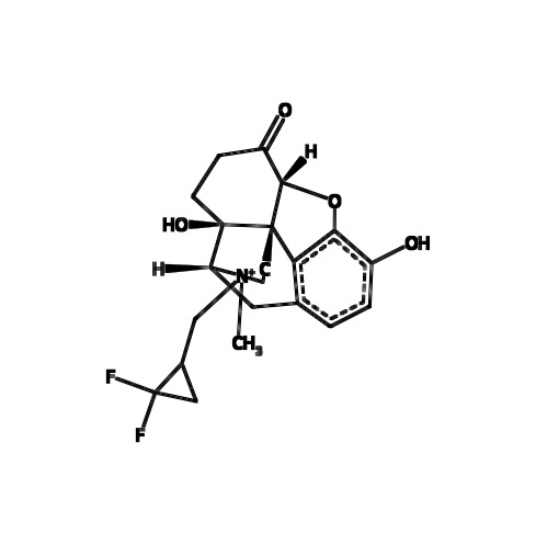 C[N+]1(CC2CC2(F)F)CC[C@]23c4c5ccc(O)c4O[C@H]2C(=O)CC[C@@]3(O)[C@H]1C5